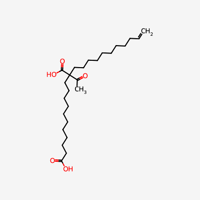 C=CCCCCCCCCCC(CCCCCCCCCCC(=O)O)(C(C)=O)C(=O)O